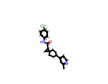 Cc1cc(C2CCC3(CC2)CC3C(=O)Nc2ccc(Cl)cc2)ccn1